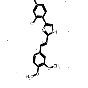 COc1ccc(/C=C/c2nc(-c3ccc(Cl)cc3Cl)c[nH]2)cc1OC